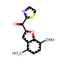 COc1ccc(C(=O)O)c2cc(C(=O)c3nccs3)oc12